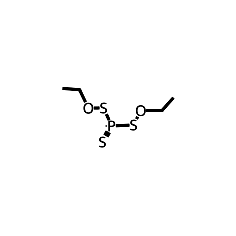 CCOS[P](=S)SOCC